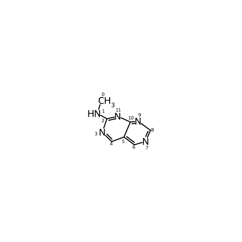 CNc1ncc2cncnc2n1